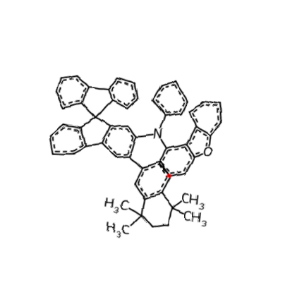 CC1(C)CCC(C)(C)c2cc(-c3cc4c(cc3N(c3ccccc3)c3cccc5oc6ccccc6c35)C3(c5ccccc5-c5ccccc53)c3ccccc3-4)ccc21